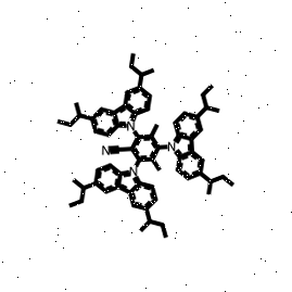 CCC(C)c1ccc2c(c1)c1cc(C(C)CC)ccc1n2-c1c(C)c(-n2c3ccc(C(C)CC)cc3c3cc(C(C)CC)ccc32)c(C#N)c(-n2c3ccc(C(C)CC)cc3c3cc(C(C)CC)ccc32)c1C